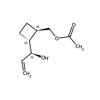 C=C[C@H](O)[C@@H]1CC[C@H]1COC(C)=O